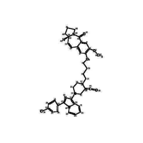 COc1cc2c(cc1OCCCCN1CCN(c3nc(-c4ccc(Cl)cc4)n4ccccc34)CC1=C=O)C=C[C@@H]1CCCN1C2=O